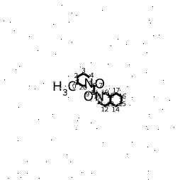 CC1CCCN(C(=O)C(=O)N2CCC3CCCCC3C2)C1